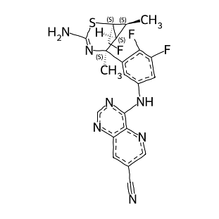 C[C@H]1[C@@H]2[C@@]1(CF)SC(N)=N[C@]2(C)c1cc(Nc2ncnc3cc(C#N)cnc23)cc(F)c1F